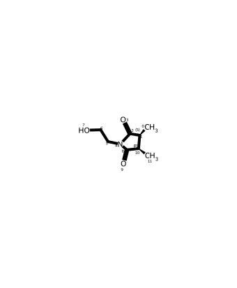 C[C@@H]1C(=O)N(CCO)C(=O)[C@@H]1C